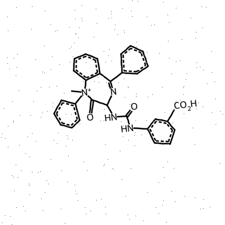 C[N+]1(c2ccccc2)C(=O)C(NC(=O)Nc2cccc(C(=O)O)c2)N=C(c2ccccc2)c2ccccc21